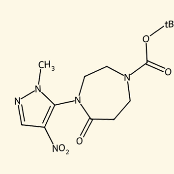 Cn1ncc([N+](=O)[O-])c1N1CCN(C(=O)OC(C)(C)C)CCC1=O